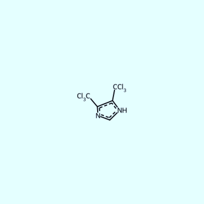 ClC(Cl)(Cl)c1nc[nH]c1C(Cl)(Cl)Cl